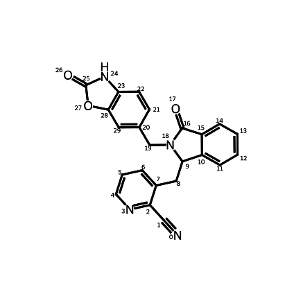 N#Cc1ncccc1CC1c2ccccc2C(=O)N1Cc1ccc2[nH]c(=O)oc2c1